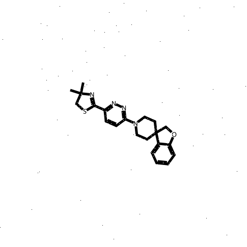 CC1(C)CSC(c2ccc(N3CCC4(CC3)COc3ccccc34)nn2)=N1